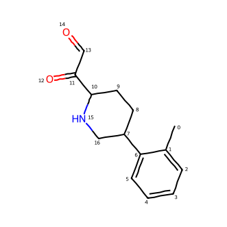 Cc1ccccc1C1CCC(C(=O)C=O)NC1